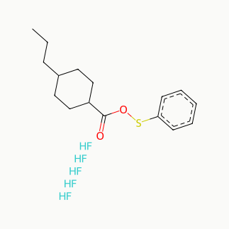 CCCC1CCC(C(=O)OSc2ccccc2)CC1.F.F.F.F.F